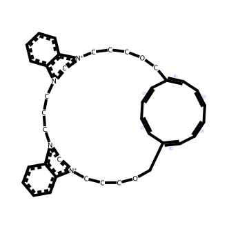 C1=C\C=C2/C=C\C=C/C(=C\C=C/1)COCCC[n+]1cn(c3ccccc31)CCCn1c[n+](c3ccccc31)CCCOC2